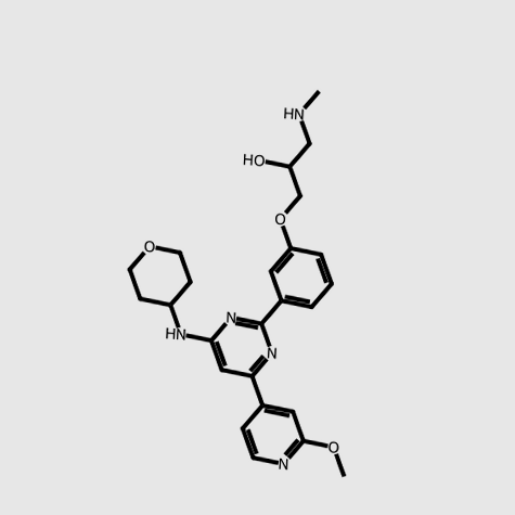 CNCC(O)COc1cccc(-c2nc(NC3CCOCC3)cc(-c3ccnc(OC)c3)n2)c1